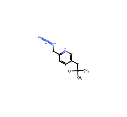 CC(C)(C)Cc1ccc(CN=[N+]=[N-])nc1